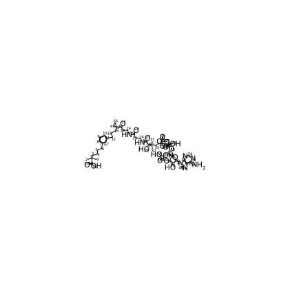 CC(C)(CCCCc1cccc(CCCC2(C(=O)CCNC(=O)CCNC(=O)C(O)C(C)(C)COP(=O)(O)OP(=O)(O)OCC3OC(n4cnc5c(N)ncnc54)C(O)C3OP(=O)(O)O)CC2)c1)C(=O)O